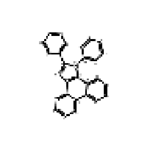 [c]1ccc(-c2nc3c4ccccc4c4ccccc4c3n2-c2ccccc2)cc1